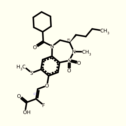 CCCC[C@@H]1CN(C(=O)C2CCCCC2)c2cc(SC)c(O/C=C(\F)C(=O)O)cc2S(=O)(=O)N1C